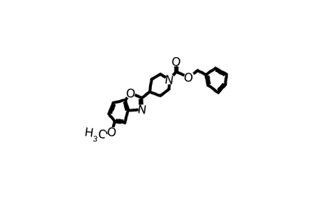 COc1ccc2oc(C3CCN(C(=O)OCc4ccccc4)CC3)nc2c1